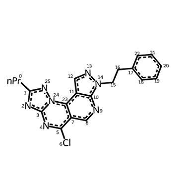 CCCc1nc2nc(Cl)c3cnc4c(cnn4CCc4ccccc4)c3n2n1